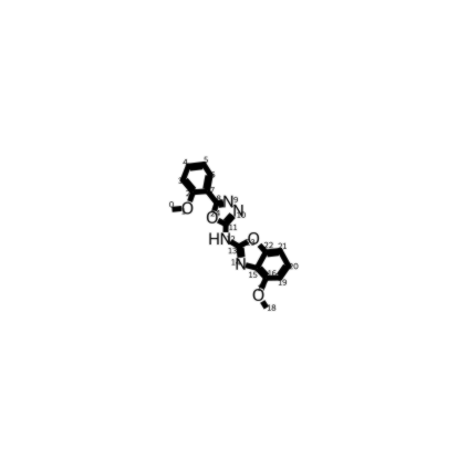 COc1ccccc1-c1nnc(Nc2nc3c(OC)cccc3o2)o1